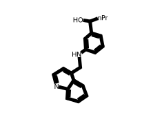 CCCC(O)c1cccc(NCc2ccnc3ccccc23)c1